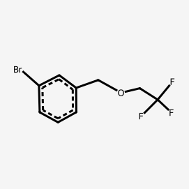 FC(F)(F)COCc1cccc(Br)c1